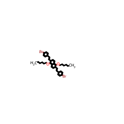 CCCCCCOc1c(/C=C/c2ccc(Br)cc2)ccc2c(OCCCCCC)c(/C=C/c3ccc(Br)cc3)ccc12